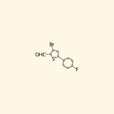 O=Cc1sc(-c2ccc(F)cc2)cc1Br